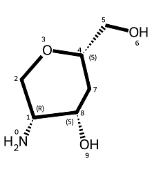 N[C@@H]1CO[C@H](CO)C[C@@H]1O